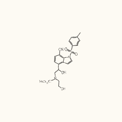 Cc1ccc(S(=O)(=O)n2ccc3c(C(O)CN(CCO)C(=O)O)ccc(C#N)c32)cc1